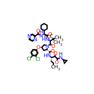 CCC[C@H](NC(=O)[C@@H]1C[C@@H](Oc2ccc(Cl)c(Cl)c2)CN1C(=O)[C@@H](NC(=O)[C@@H](NC(=O)c1cnccn1)C1CCCCC1)C(C)(C)C)C(=O)C(=O)NC1CC1